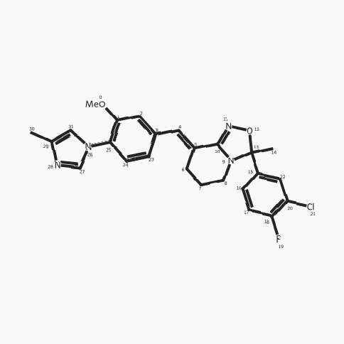 COc1cc(/C=C2\CCCN3C2=NOC3(C)c2ccc(F)c(Cl)c2)ccc1-n1cnc(C)c1